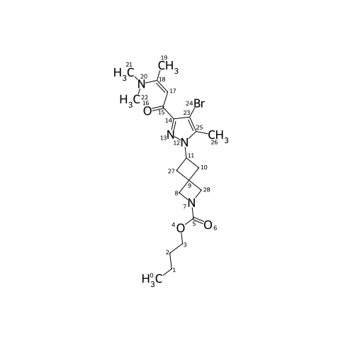 CCCCOC(=O)N1CC2(CC(n3nc(C(=O)C=C(C)N(C)C)c(Br)c3C)C2)C1